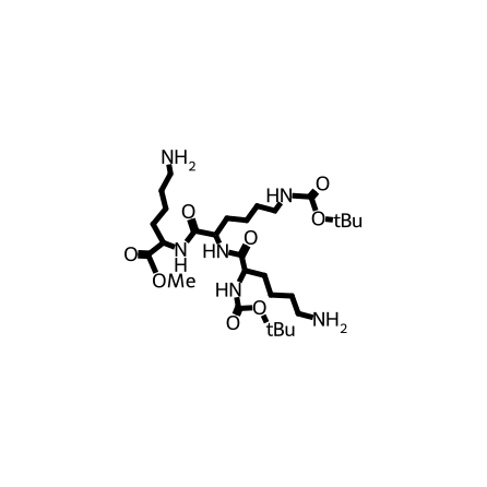 COC(=O)C(CCCCN)NC(=O)C(CCCCNC(=O)OC(C)(C)C)NC(=O)C(CCCCN)NC(=O)OC(C)(C)C